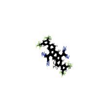 CC12C=CC(c3cc(C(F)(F)F)cc(C(F)(F)F)c3)=CC1C(=C(C#N)C#N)C1=CC3c4ccc(C5=CC(C(F)(F)F)CC(C(F)(F)F)=C5)cc4C(=C(C#N)C#N)C3C=C12